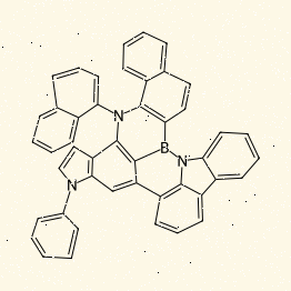 c1ccc(-n2ccc3c4c5c(cc32)-c2cccc3c6ccccc6n(c23)B5c2ccc3ccccc3c2N4c2cccc3ccccc23)cc1